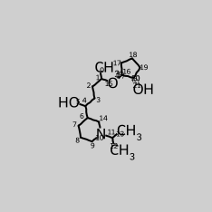 CC(CCC(O)C1CCCN(C(C)C)C1)O[C@H]1CCC[C@@H]1O